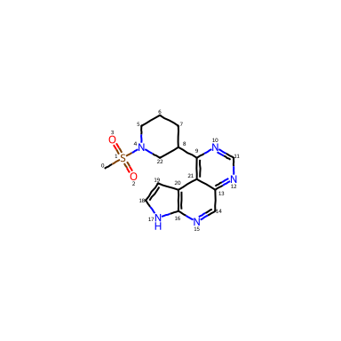 CS(=O)(=O)N1CCCC(c2ncnc3cnc4[nH]ccc4c23)C1